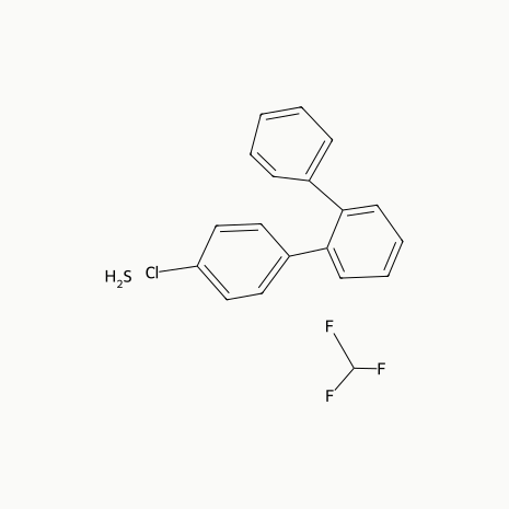 Clc1ccc(-c2ccccc2-c2ccccc2)cc1.FC(F)F.S